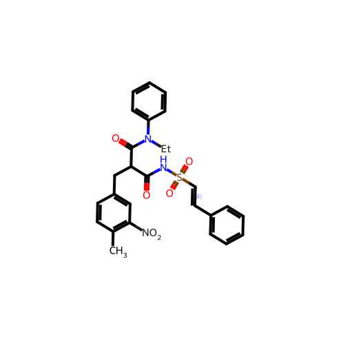 CCN(C(=O)C(Cc1ccc(C)c([N+](=O)[O-])c1)C(=O)NS(=O)(=O)/C=C/c1ccccc1)c1ccccc1